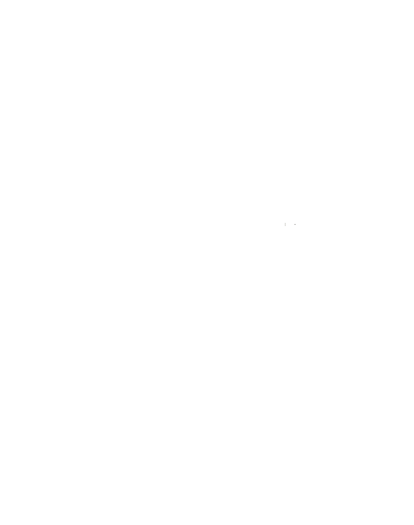 CCCCCCC[S+]([O-])CC(C)O